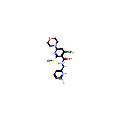 CCSc1nc(N2CCOCC2)cc(C)c1C(=O)NCc1cccc(F)n1